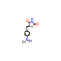 CCN(CC)c1ccc(/C=C2\SC(=O)NC2=O)cc1